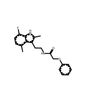 Cc1[nH]c2c(F)ccc(C)c2c1CCNC(=O)COc1ccccc1